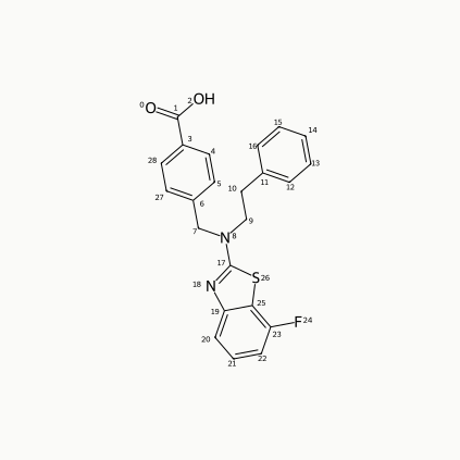 O=C(O)c1ccc(CN(CCc2ccccc2)c2nc3cccc(F)c3s2)cc1